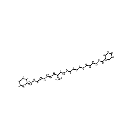 OC(COCCCCCCCCCCCCC1CCCCC1)CSCCOCCOC1CCCCO1